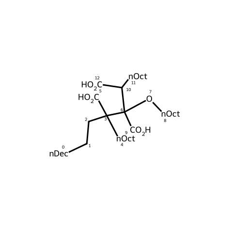 CCCCCCCCCCCCC(CCCCCCCC)(C(=O)O)C(OCCCCCCCC)(C(=O)O)C(CCCCCCCC)C(=O)O